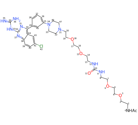 CC(=O)NCCOCCOCCNC(=O)NCCOCCOCCN1CCN(c2cccc(-c3nc(NC(=N)N)nc4ccc(Cl)cc34)c2)CC1